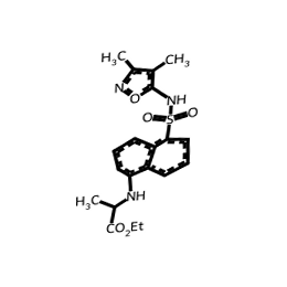 CCOC(=O)C(C)Nc1cccc2c(S(=O)(=O)Nc3onc(C)c3C)cccc12